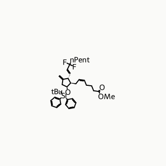 C=C1C[C@H](O[Si](c2ccccc2)(c2ccccc2)C(C)(C)C)[C@H](C/C=C\CCCC(=O)OC)[C@H]1/C=C/C(F)(F)CCCCC